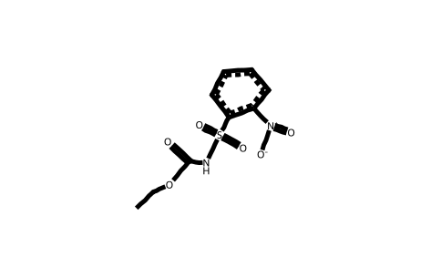 CCOC(=O)NS(=O)(=O)c1ccccc1[N+](=O)[O-]